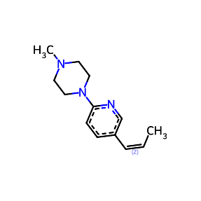 C/C=C\c1ccc(N2CCN(C)CC2)nc1